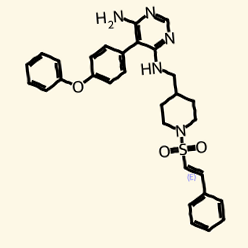 Nc1ncnc(NCC2CCN(S(=O)(=O)/C=C/c3ccccc3)CC2)c1-c1ccc(Oc2ccccc2)cc1